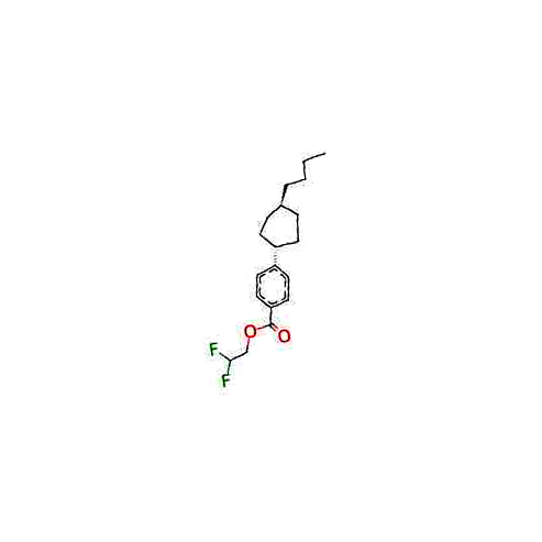 CCCC[C@H]1CC[C@H](c2ccc(C(=O)OCC(F)F)cc2)CC1